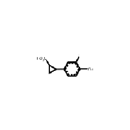 CC(C)(C)c1ccc(C2CC2C(=O)O)cc1F